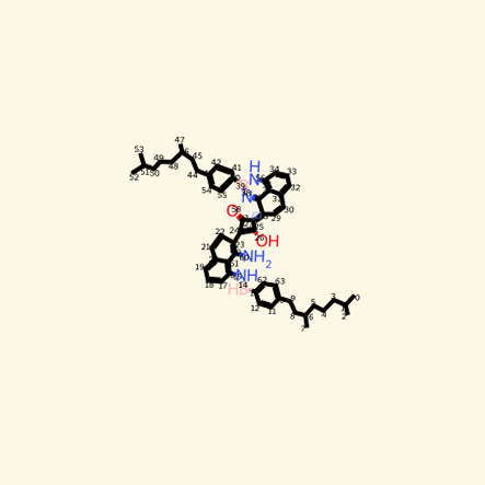 CC(C)CCCC(C)CCc1ccc(BNc2cccc3ccc(C4=C(O)/C(=c5\ccc6cccc7c6c5=NB(c5ccc(CCC(C)CCCC(C)C)cc5)N7)C4=O)c(N)c23)cc1